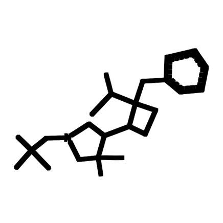 CC(C)C1(Cc2ccccc2)CCC1C1CN(CC(C)(C)C)CC1(C)C